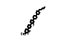 C/C=C/CCC1CCC(C2CCC(c3ccc(-c4ccc(-c5ccc(OCC)c(F)c5F)cc4)c(F)c3)CC2)CC1